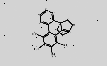 Bc1c(B)c(B)c2c(c1B)C1=C3CCC1(CC3)c1cccnc1-2